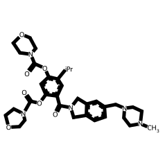 CC(C)c1cc(C(=O)N2Cc3ccc(CN4CCN(C)CC4)cc3C2)c(OC(=O)N2CCOCC2)cc1OC(=O)N1CCOCC1